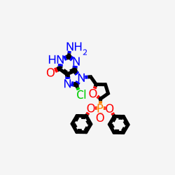 Nc1nc2c(nc(Cl)n2CC2CCC(P(=O)(Oc3ccccc3)Oc3ccccc3)O2)c(=O)[nH]1